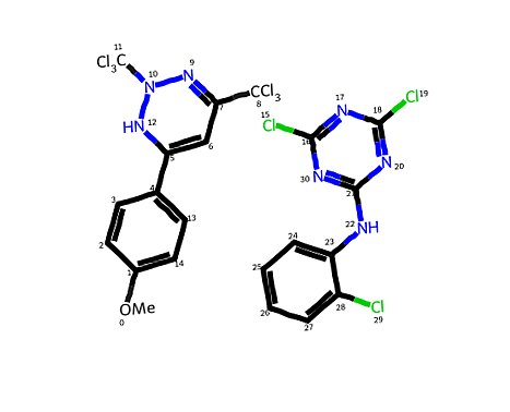 COc1ccc(C2=CC(C(Cl)(Cl)Cl)=NN(C(Cl)(Cl)Cl)N2)cc1.Clc1nc(Cl)nc(Nc2ccccc2Cl)n1